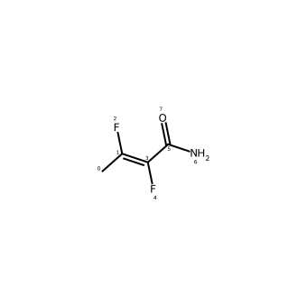 CC(F)=C(F)C(N)=O